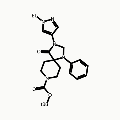 CCn1cc(N2CN(c3ccccc3)C3(CCN(C(=O)OC(C)(C)C)CC3)C2=O)cn1